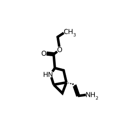 CCOC(=O)C1C[C@@]2(/C=C/N)CC2N1